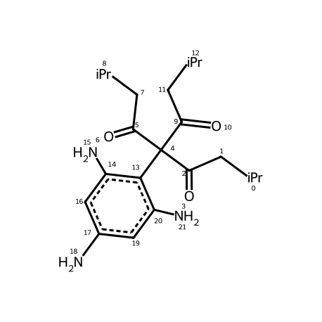 CC(C)CC(=O)C(C(=O)CC(C)C)(C(=O)CC(C)C)c1c(N)cc(N)cc1N